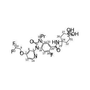 CC(C)n1c(=O)n(-c2cc(OCC(F)F)ccn2)c2cc(F)c(C(=O)NC3(C)CCS(O)(O)CC3)cc21